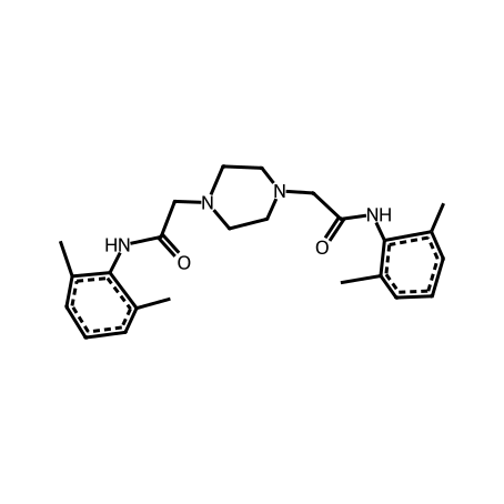 Cc1cccc(C)c1NC(=O)CN1CCN(CC(=O)Nc2c(C)cccc2C)CC1